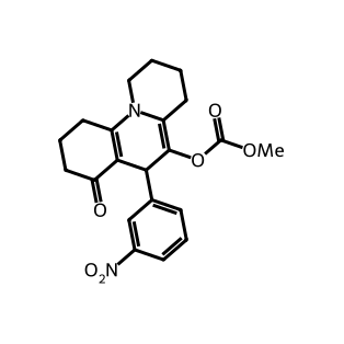 COC(=O)OC1=C2CCCCN2C2=C(C(=O)CCC2)C1c1cccc([N+](=O)[O-])c1